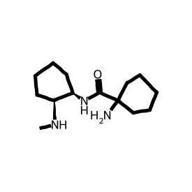 CN[C@H]1CCCC[C@H]1NC(=O)C1(N)CCCCC1